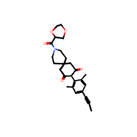 CC#Cc1cc(C)c(C2C(=O)CC3(CCN(C(=O)C4COCCO4)CC3)CC2=O)c(C)c1